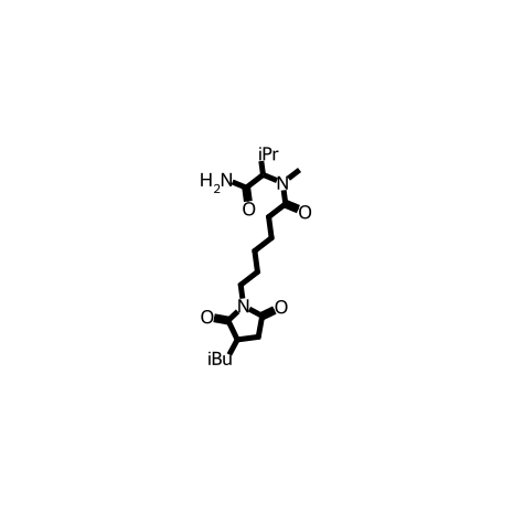 CCC(C)C1CC(=O)N(CCCCCC(=O)N(C)C(C(N)=O)C(C)C)C1=O